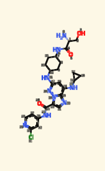 N[C@H](CO)C(=O)NC1CCC(Nc2cc(NC3CC3)c3ncc(C(=O)Nc4ccnc(Cl)c4)n3n2)CC1